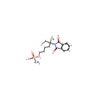 CS(=O)(=O)OCCCCC(C#N)(CF)N1C(=O)c2ccccc2C1=O